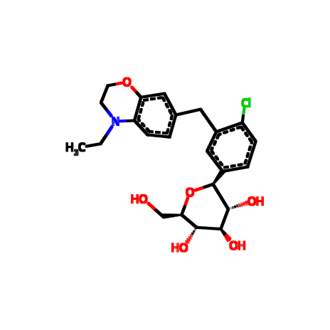 CCN1CCOc2cc(Cc3cc([C@@H]4O[C@H](CO)[C@@H](O)[C@H](O)[C@H]4O)ccc3Cl)ccc21